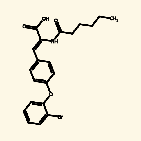 CCCCCC(=O)NC(=Cc1ccc(Oc2ccccc2Br)cc1)C(=O)O